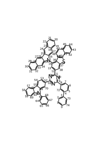 c1ccc(-c2cccc(-c3nc(-c4cc(-n5c6cc7ccccc7cc6c6cc7ccccc7cc65)c5c(c4)sc4c6ccccc6ccc45)nc(-c4ccc5c6ccccc6n(-c6ccccc6)c5c4)n3)c2)cc1